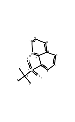 CC(C)(C)S(=O)(=O)c1cccc2cccnc12